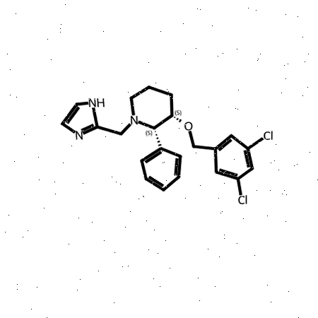 Clc1cc(Cl)cc(CO[C@H]2CCCN(Cc3ncc[nH]3)[C@H]2c2ccccc2)c1